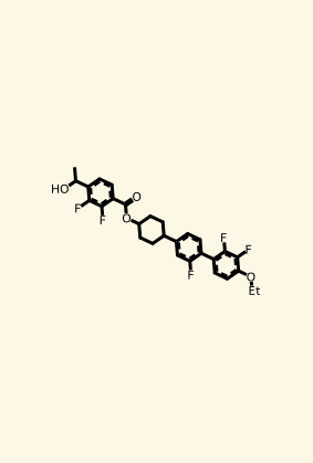 CCOc1ccc(-c2ccc(C3CCC(OC(=O)c4ccc(C(C)O)c(F)c4F)CC3)cc2F)c(F)c1F